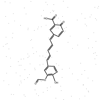 O=COc1cc(/C=C/C=C/C=C2\C=CC(=O)C(C(=O)O)=C2)ccc1O